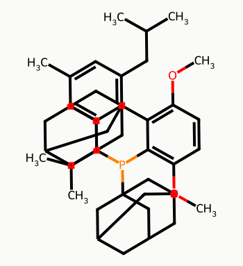 COc1ccc(OC)c(P(C23CC4CC(CC(C4)C2)C3)C23CC4CC(CC(C4)C2)C3)c1-c1c(CC(C)C)cc(C)cc1CC(C)C